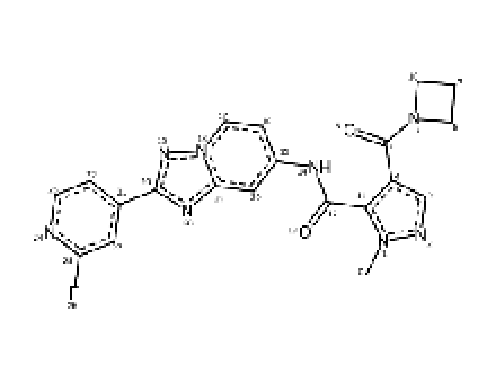 Cn1ncc(C(=O)N2CCC2)c1C(=O)Nc1ccn2nc(-c3ccnc(F)c3)nc2c1